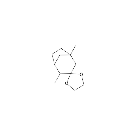 CC1C2CCC(C)(C2)CC12OCCO2